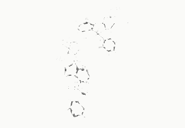 COC1(OC)C=CC(C(OC[C@H]2O[C@@H](n3cnc4c(NC(=O)c5ccccc5)ncnc43)[C@](C)(F)[C@@H]2O)(c2ccccc2)c2ccccc2)=CC1